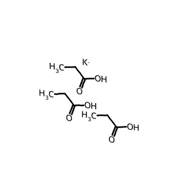 CCC(=O)O.CCC(=O)O.CCC(=O)O.[K]